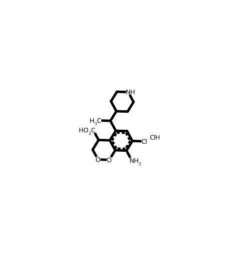 CC(c1cc(Cl)c(N)c2c1C(C(=O)O)COO2)C1CCNCC1.Cl